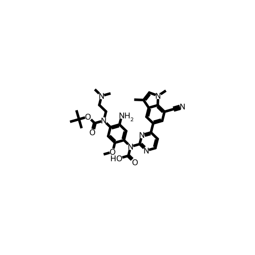 COc1cc(N(CCN(C)C)C(=O)OC(C)(C)C)c(N)cc1N(C(=O)O)c1nccc(-c2cc(C#N)c3c(c2)c(C)cn3C)n1